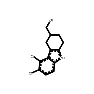 OCC1CCc2[nH]c3ccc(Cl)c(Cl)c3c2C1